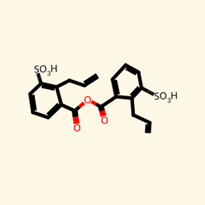 C=CCc1c(C(=O)OC(=O)c2cccc(S(=O)(=O)O)c2CC=C)cccc1S(=O)(=O)O